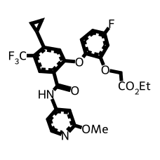 CCOC(=O)COc1cc(F)ccc1Oc1cc(C2CC2)c(C(F)(F)F)cc1C(=O)Nc1ccnc(OC)c1